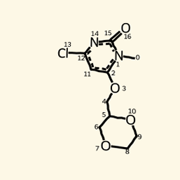 Cn1c(OCC2COCCO2)cc(Cl)nc1=O